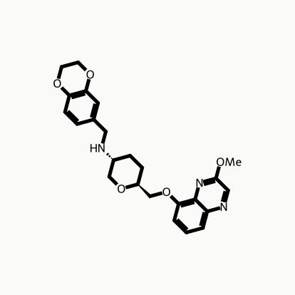 COc1cnc2cccc(OC[C@@H]3CC[C@@H](NCc4ccc5c(c4)OCCO5)CO3)c2n1